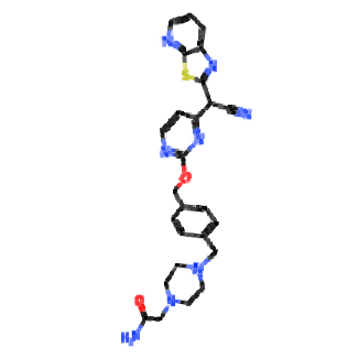 N#CC(c1ccnc(OCc2ccc(CN3CCN(CC(N)=O)CC3)cc2)n1)c1nc2cccnc2s1